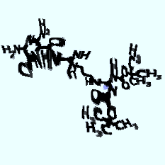 CC(C)(C)OC(=O)/N=C(\NCCCNC(=N)NC(=O)c1nc(Cl)c(N)nc1N)NC(=O)OC(C)(C)C